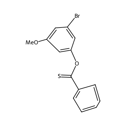 COc1cc(Br)cc(OC(=S)c2ccccc2)c1